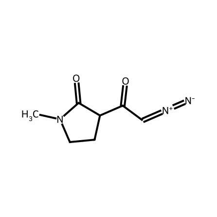 CN1CCC(C(=O)C=[N+]=[N-])C1=O